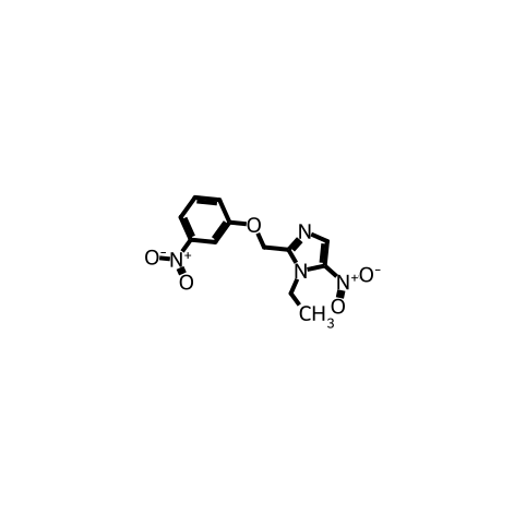 CCn1c([N+](=O)[O-])cnc1COc1cccc([N+](=O)[O-])c1